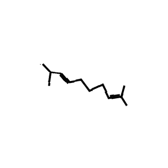 [CH2]C(C)/C=C/CCCC=C(C)C